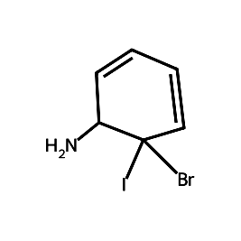 NC1C=CC=CC1(Br)I